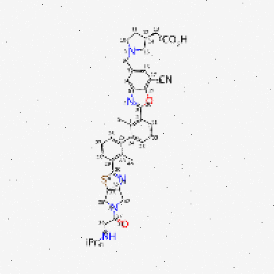 Cc1c(-c2nc3cc(CN4CC[C@@H](CC(=O)O)C4)cc(C#N)c3o2)cccc1-c1cccc(-c2nc3c(s2)CN(C(=O)CNC(C)C)C3)c1C